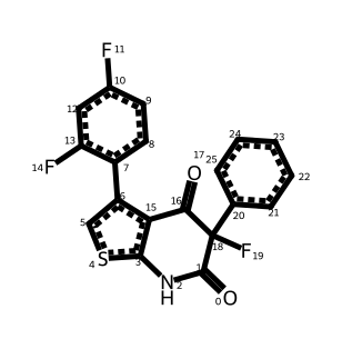 O=C1Nc2scc(-c3ccc(F)cc3F)c2C(=O)C1(F)c1ccccc1